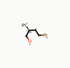 CC(C)[C@H](C[O])CCBr